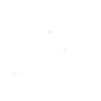 CCCCC(=O)c1ccc([N+](=O)[O-])c(C)c1